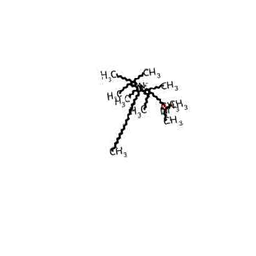 CCCCCCCCCCCCCCCCCCCCCCCC=CC1=C(c2cc(CCCCCC)c(CCCCCCCC)c(CCCCCC)c2)[N+](=[N-])C(c2cc(CCCCCC)c(CCCCCCCC)c(CCCCCC)c2)=C1CCCCC.CCC[CH2][Ni][CH2]CCC